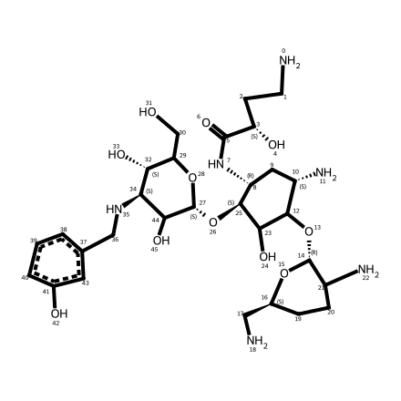 NCC[C@H](O)C(=O)N[C@@H]1C[C@H](N)C(O[C@H]2O[C@H](CN)CCC2N)C(O)[C@H]1O[C@H]1OC(CO)[C@@H](O)[C@H](NCc2cccc(O)c2)C1O